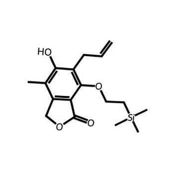 C=CCc1c(O)c(C)c2c(c1OCC[Si](C)(C)C)C(=O)OC2